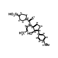 CC=NN(C(=S)N1CCC(C(=O)O)CC1)c1csc(-c2ccc(C(C)(C)C)cc2)c1O